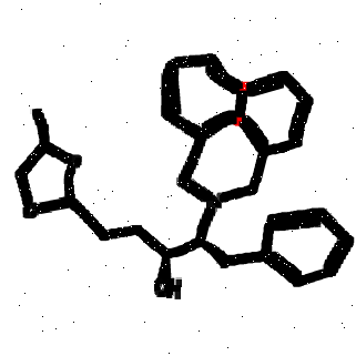 CC1COC(CC[C@H](O)[C@H](Cc2ccccc2)N(Cc2ccccc2)Cc2ccccc2)O1